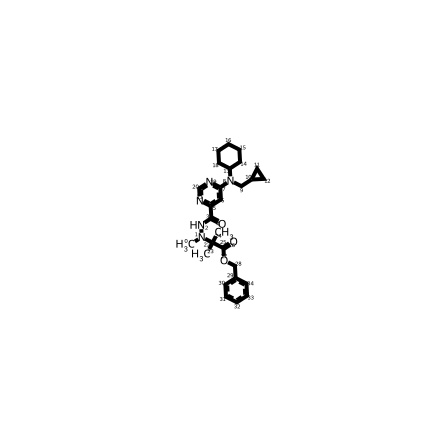 CN(NC(=O)c1cc(N(CC2CC2)C2CCCCC2)ncn1)C(C)(C)C(=O)OCc1ccccc1